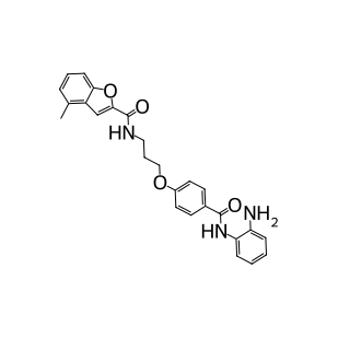 Cc1cccc2oc(C(=O)NCCCOc3ccc(C(=O)Nc4ccccc4N)cc3)cc12